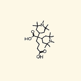 CN1C(C)(C)CC(C(CCCC(=O)O)(C(=O)O)C2CC(C)(C)N(C)C(C)(C)C2)CC1(C)C